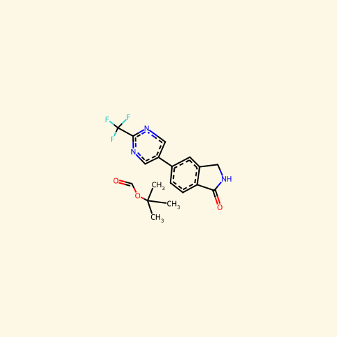 CC(C)(C)OC=O.O=C1NCc2cc(-c3cnc(C(F)(F)F)nc3)ccc21